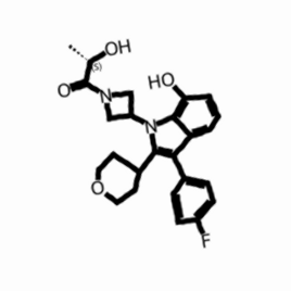 C[C@H](O)C(=O)N1CC(n2c(C3CCOCC3)c(-c3ccc(F)cc3)c3cccc(O)c32)C1